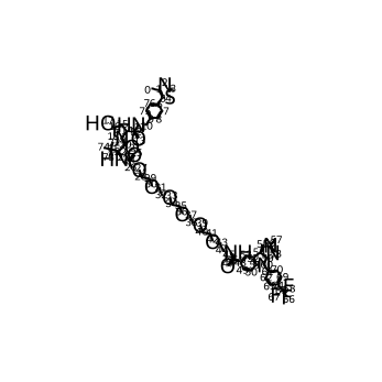 Cc1ncsc1-c1ccc(CNC(=O)[C@@H]2C[C@@H](O)CN2C(=O)C(NC(=O)COCCOCCOCCOCCOCCOCCNC(=O)c2ccc3c(c2)c2cn(C)nc2n3-c2ccc(C(F)(F)F)cc2)C(C)(C)C)cc1